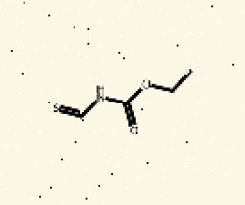 CCOC(=O)N[C]=S